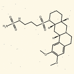 COc1cc2c(cc1OC)[C@@H]1C[C@H]3[C@H](CCCN3S(=O)(=O)CCCNS(N)(=O)=O)CN1CC2